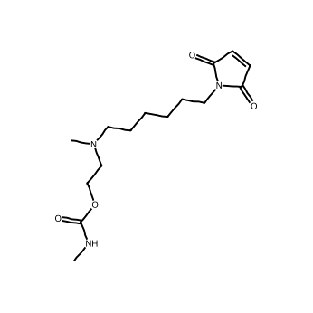 CNC(=O)OCCN(C)CCCCCCN1C(=O)C=CC1=O